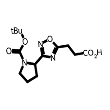 CC(C)(C)OC(=O)N1CCCC1c1noc(CCC(=O)O)n1